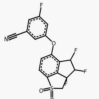 N#Cc1cc(F)cc(Oc2ccc3c4c2C(F)C(F)C4(F)CS3(=O)=O)c1